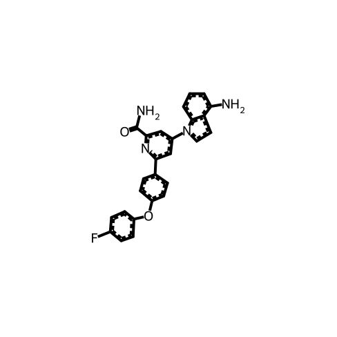 NC(=O)c1cc(-n2ccc3c(N)cccc32)cc(-c2ccc(Oc3ccc(F)cc3)cc2)n1